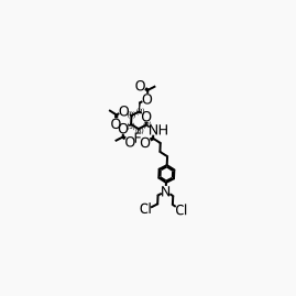 CC(=O)OC[C@H]1O[C@@H](NC(=O)CCCc2ccc(N(CCCl)CCCl)cc2)[C@H](F)[C@@H](OC(C)=O)[C@@H]1OC(C)=O